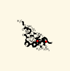 CCCOC(=O)C1([SiH3])CCCN(C(=O)[C@H](Cc2cccc(-c3ccc4c(c3)c(CCC)c(-c3cccnc3[C@H](C)OC)n4CC)c2)NC(=O)[C@H](C(C)C)N(C)C(=O)C2([SiH3])CCN(C(=O)/C=C/CF)C2)N1